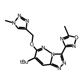 Cc1nc(-c2nnc3cc(C(C)(C)C)c(OCc4cn(C)nn4)nn23)no1